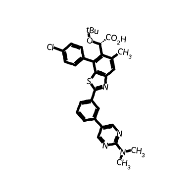 Cc1cc2nc(-c3cccc(-c4cnc(N(C)C)nc4)c3)sc2c(-c2ccc(Cl)cc2)c1[C@H](OC(C)(C)C)C(=O)O